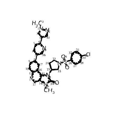 Cn1cc(-c2ccc(-c3ccc4ncc5c(c4c3)n(C3CCN(S(=O)(=O)c4ccc(Cl)cc4)C3)c(=O)n5C)cn2)cn1